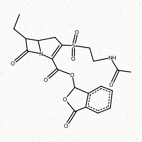 CCC1C(=O)N2C(C(=O)OC3OC(=O)c4ccccc43)=C(S(=O)(=O)CCNC(C)=O)CC12